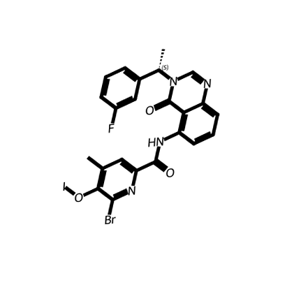 Cc1cc(C(=O)Nc2cccc3ncn([C@@H](C)c4cccc(F)c4)c(=O)c23)nc(Br)c1OI